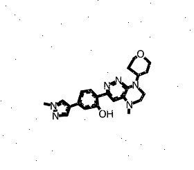 CN1CCN(C2CCOCC2)c2nnc(-c3ccc(-c4cnn(C)c4)cc3O)cc21